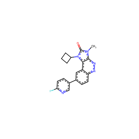 Cn1c(=O)n(C2CCC2)c2c3cc(-c4ccc(F)nc4)ccc3nnc21